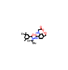 CC[C@@H](N(NC(=O)c1ccc2c3c1NCC(=O)OB3OC2)C(=O)C1=CC(C)(CC)CC(C)=C1)C(C)(C)C